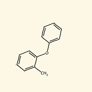 Cc1c[c]ccc1Oc1ccccc1